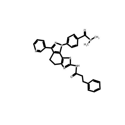 CN(C)C(=O)c1ccc(-n2nc(-c3cccnc3)c3c2-c2sc(NC(=O)CCc4ccccc4)nc2CC3)cc1